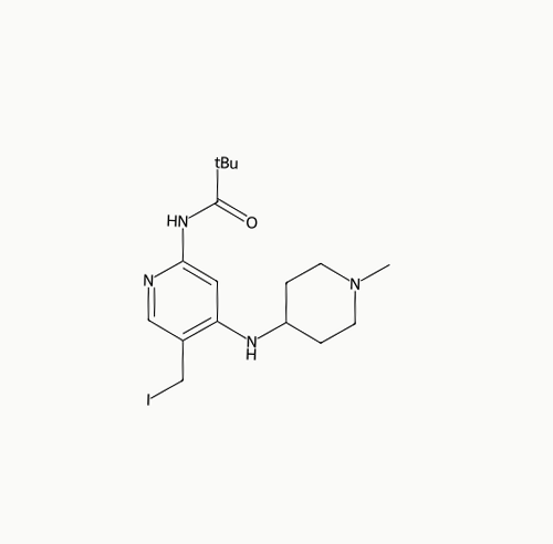 CN1CCC(Nc2cc(NC(=O)C(C)(C)C)ncc2CI)CC1